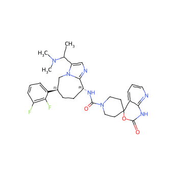 CC(c1cnc2n1C[C@H](c1cccc(F)c1F)CC[C@H]2NC(=O)N1CCC2(CC1)OC(=O)Nc1ncccc12)N(C)C